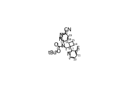 CC(C)(C)OC(=O)N(CC1(c2ncccc2F)CCC1)c1ccc(C#N)nn1